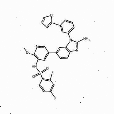 COc1ncc(-c2ccc3nc(N)n(-c4cccc(-c5cnco5)c4)c3c2)cc1NS(=O)(=O)c1ccc(F)cc1F